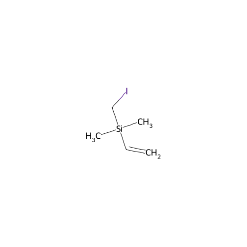 C=C[Si](C)(C)CI